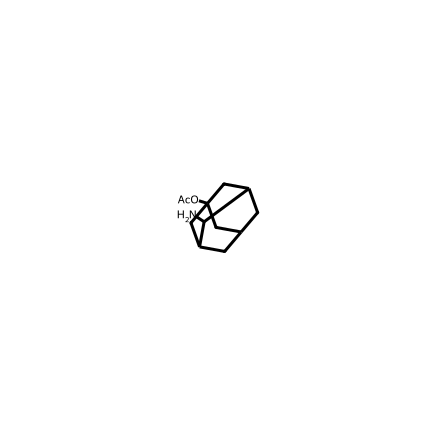 CC(=O)OC12CC3CC(C1)C(N)C(C3)C2